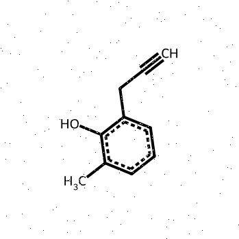 C#CCc1cccc(C)c1O